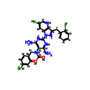 Nc1nc(-n2nc(Cc3ccccc3F)c3ncc(F)cc32)nc(N)c1N(Cc1ccc(Br)cc1)C(=O)O